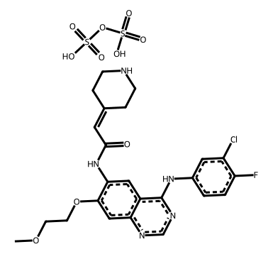 COCCOc1cc2ncnc(Nc3ccc(F)c(Cl)c3)c2cc1NC(=O)C=C1CCNCC1.O=S(=O)(O)OS(=O)(=O)O